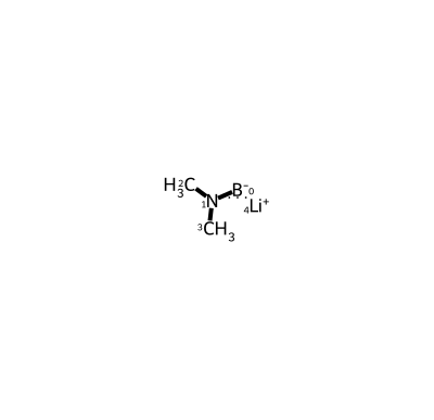 [B-]N(C)C.[Li+]